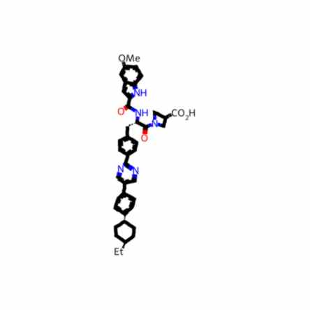 CC[C@H]1CC[C@H](c2ccc(-c3cnc(-c4ccc(C[C@H](NC(=O)c5cc6cc(OC)ccc6[nH]5)C(=O)N5CC(C(=O)O)C5)cc4)nc3)cc2)CC1